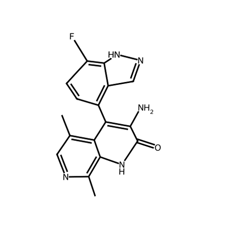 Cc1ncc(C)c2c(-c3ccc(F)c4[nH]ncc34)c(N)c(=O)[nH]c12